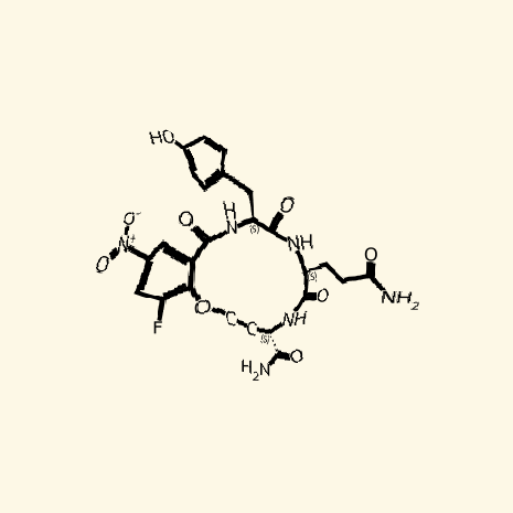 NC(=O)CC[C@@H]1NC(=O)[C@H](Cc2ccc(O)cc2)NC(=O)c2cc([N+](=O)[O-])cc(F)c2OCC[C@@H](C(N)=O)NC1=O